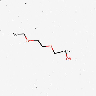 N#CCOCCOCCO